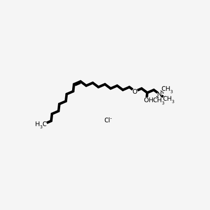 CCCCCCCC/C=C\CCCCCCCCOCC(O)C[N+](C)(C)C.[Cl-]